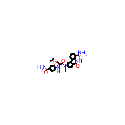 CC(C)OCC(Nc1ccc(C(N)=O)cc1)C(=O)Nc1ccc2c(=O)[nH]c3c(C(N)=O)cccc3c2c1